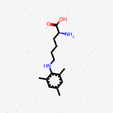 Cc1cc(C)c(NCCCC[C@H](N)C(=O)O)c(C)c1